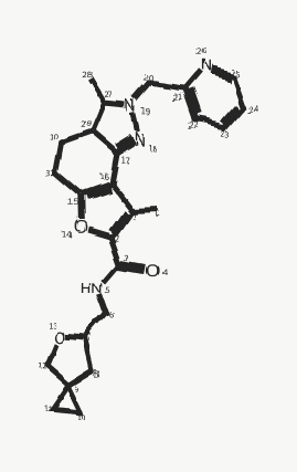 Cc1c(C(=O)NCC2CC3(CC3)CO2)oc2c1C1=NN(Cc3ccccn3)C(C)C1CC2